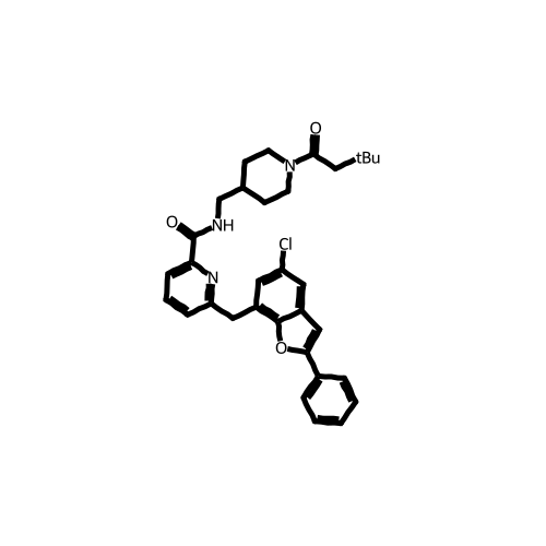 CC(C)(C)CC(=O)N1CCC(CNC(=O)c2cccc(Cc3cc(Cl)cc4cc(-c5ccccc5)oc34)n2)CC1